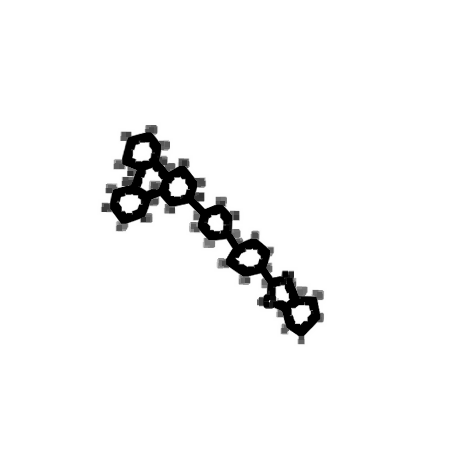 c1ccc2oc(-c3ccc(-c4ccc(-c5ccc6c7ccccc7c7ccccc7c6c5)cc4)cc3)nc2c1